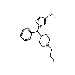 Nc1cnn(C(c2ccccc2)C2CCN(CCF)CC2)c1